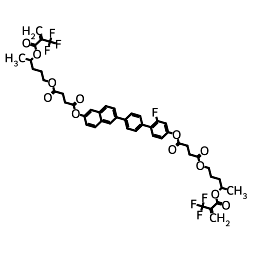 C=C(C(=O)OC(C)CCCOC(=O)CCC(=O)Oc1ccc(-c2ccc(-c3ccc4cc(OC(=O)CCC(=O)OCCCC(C)OC(=O)C(=C)C(F)(F)F)ccc4c3)cc2)c(F)c1)C(F)(F)F